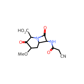 COC1CC2C(NC(=O)CC#N)C(=O)N2C(C(=O)O)C1=O